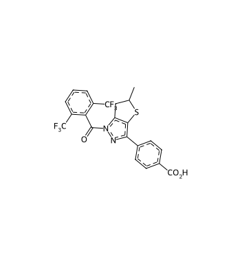 CC1Cc2c(c(-c3ccc(C(=O)O)cc3)nn2C(=O)c2c(C(F)(F)F)cccc2C(F)(F)F)S1